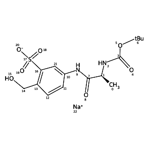 C[C@H](NC(=O)OC(C)(C)C)C(=O)Nc1ccc(CO)c(S(=O)(=O)[O-])c1.[Na+]